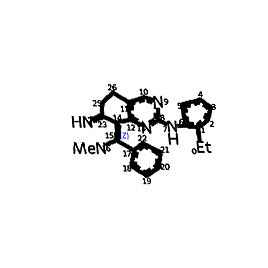 CCc1ccccc1Nc1ncc2c(n1)/C(=C(/NC)c1ccccc1)C(=N)CC2